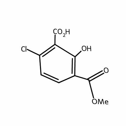 COC(=O)c1ccc(Cl)c(C(=O)O)c1O